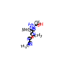 COc1nc(NC(C)CCO)ncc1-c1ccc(Oc2ccnc(-c3cnn(C)c3)c2)c(C)n1